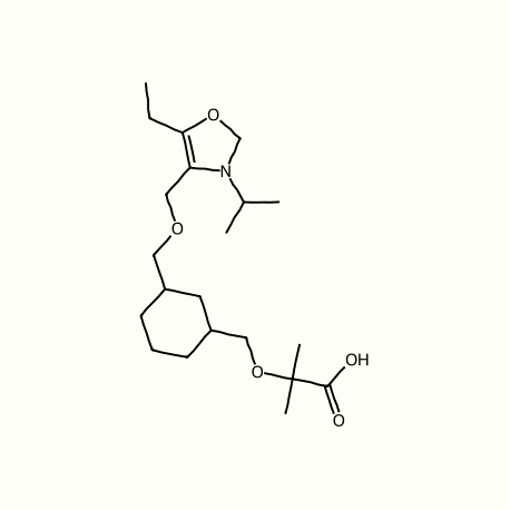 CCC1=C(COCC2CCCC(COC(C)(C)C(=O)O)C2)N(C(C)C)CO1